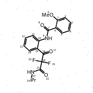 COc1ccccc1C(=O)Nc1ccccc1C(=O)C(F)(F)C(=O)NC(C)C